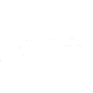 Cc1cnn(C(C)C2CCN(C(=O)OC(C)(C)C)CC2)c1